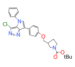 CC(C)(C)OC(=O)N1CCC(COc2ccc(-c3cn(-c4ccccc4)c4c(Cl)ncnc34)cc2)C1